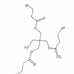 C=C(CCS)OCC(CC)(COC(=O)CCS)COC(=O)CCS